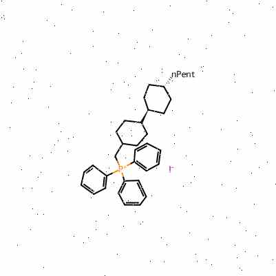 CCCCC[C@H]1CC[C@H](C2CCC(C[P+](c3ccccc3)(c3ccccc3)c3ccccc3)CC2)CC1.[I-]